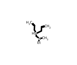 C=CC[SiH](CC=C)CN(C)CC